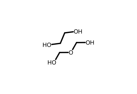 OCCO.OCOCO